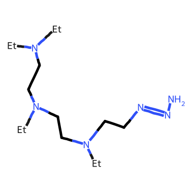 CCN(CC)CCN(CC)CCN(CC)CCN=NN